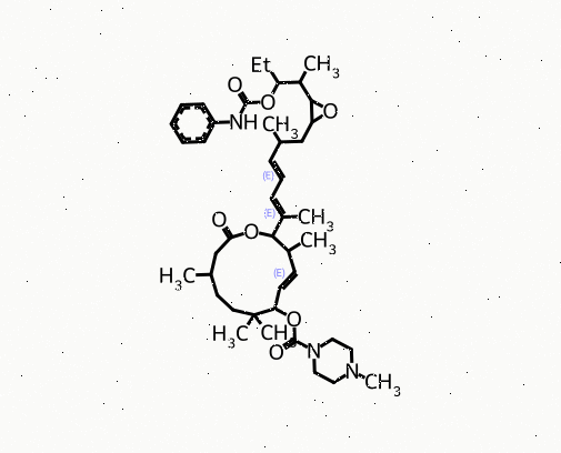 CCC(OC(=O)Nc1ccccc1)C(C)C1OC1CC(C)/C=C/C=C(\C)C1OC(=O)CC(C)CCC(C)(C)C(OC(=O)N2CCN(C)CC2)/C=C/C1C